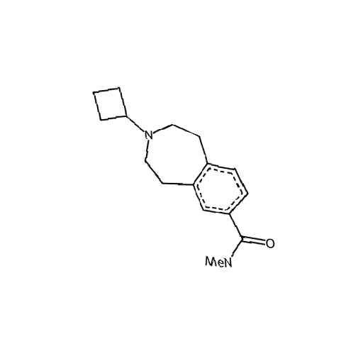 CNC(=O)c1ccc2c(c1)CCN(C1CCC1)CC2